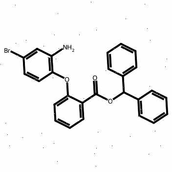 Nc1cc(Br)ccc1Oc1ccccc1C(=O)OC(c1ccccc1)c1ccccc1